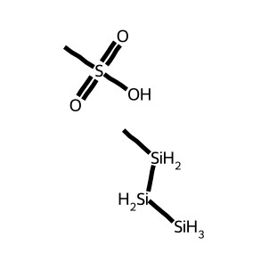 CS(=O)(=O)O.C[SiH2][SiH2][SiH3]